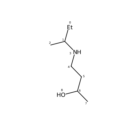 CCC(C)NCCC(C)O